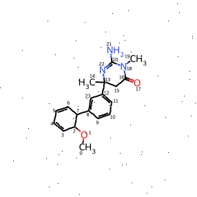 COC1C=CC=CC1c1cccc(C2(C)CC(=O)N(C)C(N)=N2)c1